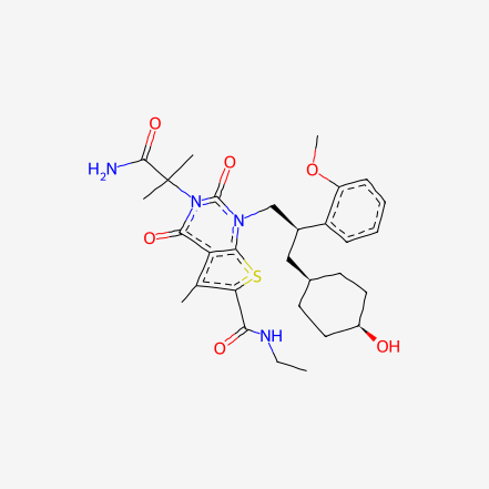 CCNC(=O)c1sc2c(c1C)c(=O)n(C(C)(C)C(N)=O)c(=O)n2C[C@H](C[C@H]1CC[C@@H](O)CC1)c1ccccc1OC